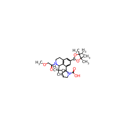 COCC(=O)N1CCc2cc(B3OC(C)(C)C(C)(C)O3)cc(C3CCCN3C(=O)O)c2C1C(C)(C)C